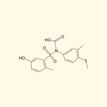 CSc1ccc(N(C(=O)O)S(=O)(=O)c2cc(O)ccc2C)cc1C